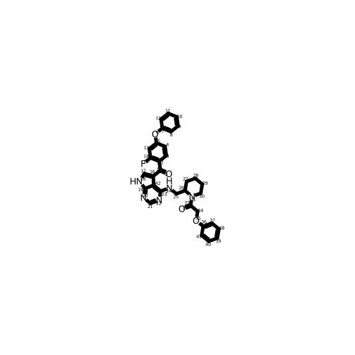 O=C(c1ccc(Oc2ccccc2)cc1F)c1c[nH]c2ncnc(NCC3CCCCN3C(=O)COc3ccccc3)c12